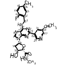 CNC(=O)[C@H]1O[C@@H](n2cnc3c(NCc4cc(C)ccc4F)nc(-c4cncc(OC)c4)nc32)C[C@@H]1O